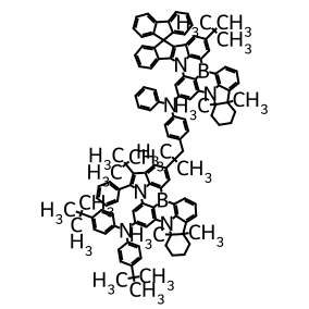 CC(C)(C)c1ccc(N(c2ccc(C(C)(C)C)cc2)c2cc3c4c(c2)-n2c(-c5ccccc5)c(C(C)(C)C)c5cc(C(C)(C)Cc6ccc(N(c7ccccc7)c7cc8c9c(c7)-n7c%10c(c%11cc(C(C)(C)C)cc(c%117)B9c7cccc9c7N8C7(C)CCCCC97C)C7(c8ccccc8-c8ccccc87)c7ccccc7-%10)cc6)cc(c52)B4c2cccc4c2N3C2(C)CCCCC42C)cc1